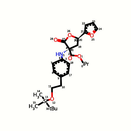 CC(C)OC(=O)[C@]1(Nc2ccc(CCO[Si](C)(C)C(C)(C)C)cc2)C[C@H](c2ccco2)OC1=O